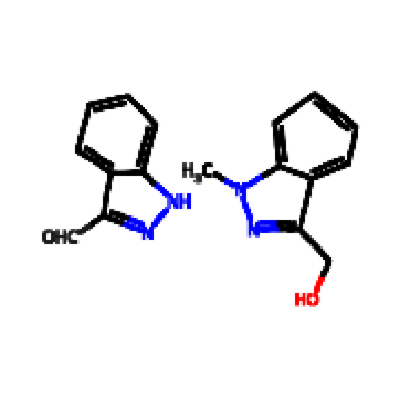 Cn1nc(CO)c2ccccc21.O=Cc1n[nH]c2ccccc12